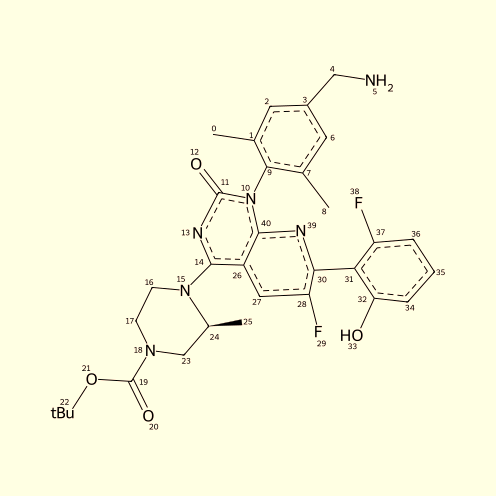 Cc1cc(CN)cc(C)c1-n1c(=O)nc(N2CCN(C(=O)OC(C)(C)C)C[C@@H]2C)c2cc(F)c(-c3c(O)cccc3F)nc21